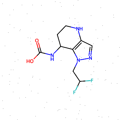 O=C(O)NC1CCNc2cnn(CC(F)F)c21